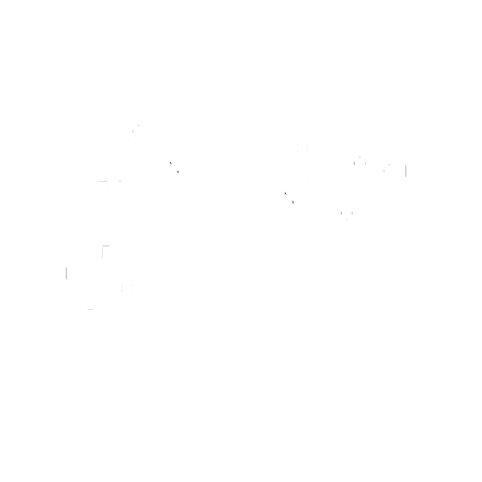 CCN(CC)c1ccc(N(CCCCc2ccccc2)C(=O)C(=O)OC)cc1-c1ccc(OC(F)(F)F)cc1